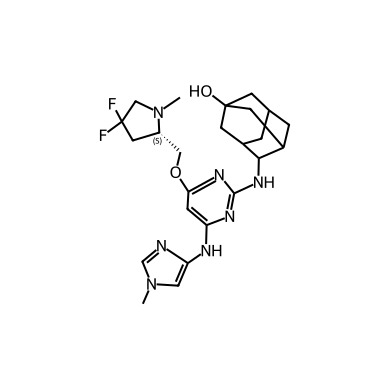 CN1CC(F)(F)C[C@H]1COc1cc(Nc2cn(C)cn2)nc(NC2C3CC4CC2CC(O)(C4)C3)n1